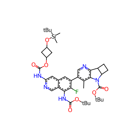 Cc1c(-c2cc3cc(NC(=O)OC4CC(O[Si](C)(C)C(C)(C)C)C4)ncc3c(NC(=O)OC(C)(C)C)c2F)cnc2c1N(C(=O)OC(C)(C)C)C1CCC21